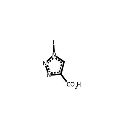 O=C(O)c1cn(I)nn1